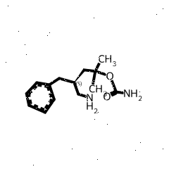 CC(C)(C[C@@H](CN)Cc1ccccc1)OC(N)=O